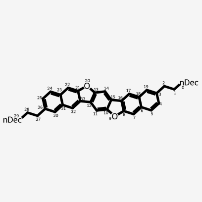 CCCCCCCCCCCCc1ccc2cc3oc4cc5c(cc4c3cc2c1)oc1cc2ccc(CCCCCCCCCCCC)cc2cc15